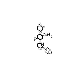 C[C@H]1CN(c2cc(F)c(-c3ccnc(N4CCOCC4)n3)cc2N)CCN1C